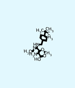 C=C/N=C(NCc1ccc(C(C)(C)C)cc1)\C(OC)=C(/N)C(=O)O